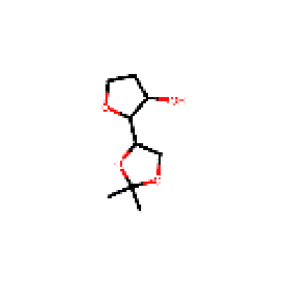 CC1(C)OCC(C2OCC[C@H]2O)O1